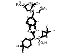 COC[C@H](c1ccc2oc([C@H](C3CCC(F)(F)CC3)N(C(=O)O)C3CC(F)(F)C3)nc2c1)N1C[C@@H](C(F)(F)F)NC1=O